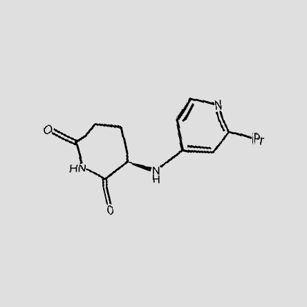 CC(C)c1cc(N[C@@H]2CCC(=O)NC2=O)ccn1